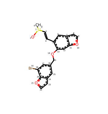 C[S+]([O-])C=Cc1cc2ccoc2cc1OCc1cc(Br)c2occc2c1